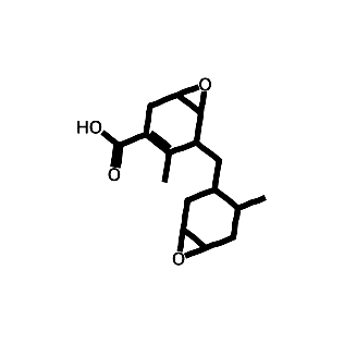 CC1=C(C(=O)O)CC2OC2C1CC1CC2OC2CC1C